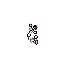 CC1(c2ccccc2)OB(Oc2ccc(OB3OC(c4ccccc4)(c4ccccc4)C(c4ccccc4)(c4ccccc4)O3)cc2)OC1(c1ccccc1)c1ccccc1